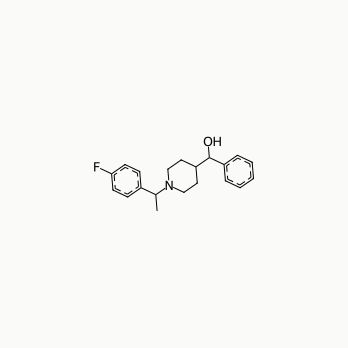 CC(c1ccc(F)cc1)N1CCC(C(O)c2ccccc2)CC1